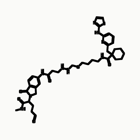 CNC(=O)C(CCC=O)N1Cc2cc(NC(=O)CCNNCOCCCCNC(=O)C3(Cc4cccc(Nc5nccs5)n4)CCCCC3)ccc2C1=O